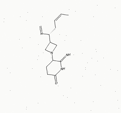 C=N[C@H](C/C=C\C)C1CN(C2CCC(=O)NC2=N)C1